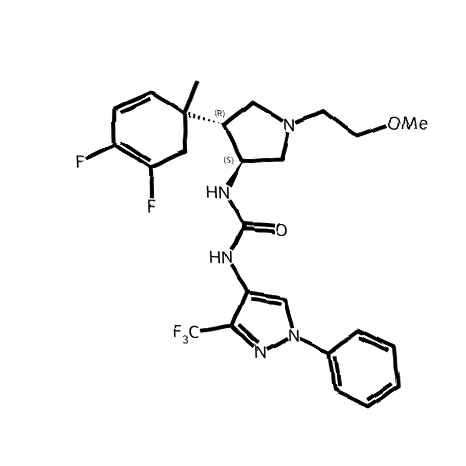 COCCN1C[C@@H](C2(C)C=CC(F)=C(F)C2)[C@H](NC(=O)Nc2cn(-c3ccccc3)nc2C(F)(F)F)C1